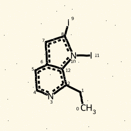 CCc1nccc2cc(I)n(I)c12